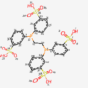 O=S(=O)(O)c1cccc(P(CCP(c2cccc(S(=O)(=O)O)c2)c2cccc(S(=O)(=O)O)c2)c2cccc(S(=O)(=O)O)c2)c1